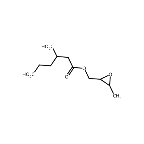 CC1OC1COC(=O)CC(CCC(=O)O)C(=O)O